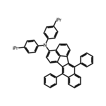 CC(C)c1ccc(N(c2ccc(C(C)C)cc2)c2ccc3c4c(cccc24)-c2c-3c(-c3ccccc3)c3ccccc3c2-c2ccccc2)cc1